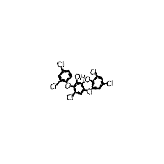 Oc1c(Oc2ccc(Cl)cc2Cl)c(Cl)cc(Cl)c1Oc1ccc(Cl)cc1Cl